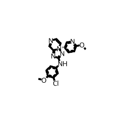 COc1ccc([N+]23C=CN=CC2=NC(Nc2ccc(OC)c(Cl)c2)=N3)cn1